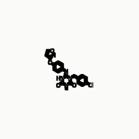 Cn1c(=O)[nH]/c(=N\c2ccc(Oc3ccon3)cc2)n(Cc2ccc(Cl)cc2)c1=O